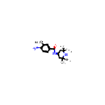 COc1cc(C(=O)NC2CC(C)(C)NC(C)(C)C2)ccc1N